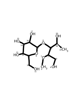 COC(CO)C(OC1OC(CO)C(O)C(O)C1O)[C@H](C)O